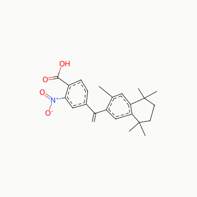 C=C(c1ccc(C(=O)O)c([N+](=O)[O-])c1)c1cc2c(cc1C)C(C)(C)CCC2(C)C